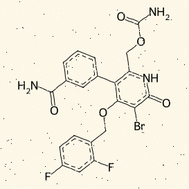 NC(=O)OCc1[nH]c(=O)c(Br)c(OCc2ccc(F)cc2F)c1-c1cccc(C(N)=O)c1